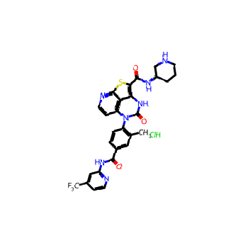 Cc1cc(C(=O)Nc2cc(C(F)(F)F)ccn2)ccc1N1C(=O)Nc2c(C(=O)NC3CCCNC3)sc3nccc1c23.Cl